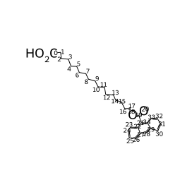 O=C(O)CCCCCCCCCCCCCCCCCOC(=O)c1c2ccccc2cc2ccccc12